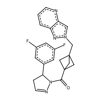 O=C(N1N=CCC1c1cc(F)cc(F)c1)C12CC(Cn3cc4ncccc4n3)(C1)C2